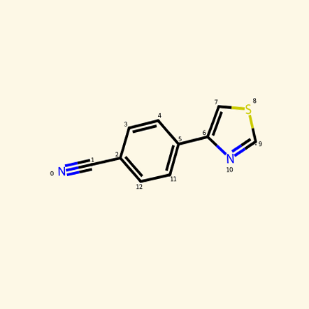 N#Cc1ccc(-c2cs[c]n2)cc1